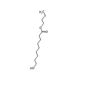 CSCCOC(=O)CCCCCCCCO